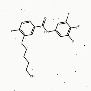 O=C(Nc1cc(F)c(F)c(F)c1)c1ccc(I)c(SCCCCO)c1